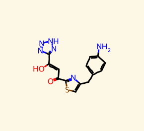 Nc1ccc(Cc2csc(C(=O)C=C(O)c3nn[nH]n3)n2)cc1